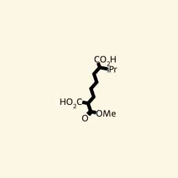 COC(=O)C(CCCCC(C(=O)O)C(C)C)C(=O)O